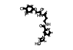 C=C(CCNC(=O)c1cc(N2CC(O)C2)ccn1)NC(=O)COc1ccc(Cl)c(F)c1